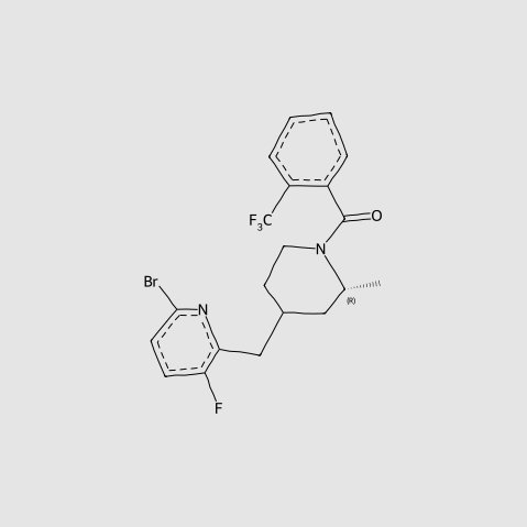 C[C@@H]1CC(Cc2nc(Br)ccc2F)CCN1C(=O)c1ccccc1C(F)(F)F